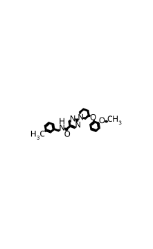 CCOc1ccccc1OC1CCCN(c2ncc(C(=O)NCc3cccc(C)c3)cn2)C1